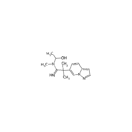 CC(O)N(C)C(=N)C(C)(C)c1ccc2ccnn2c1